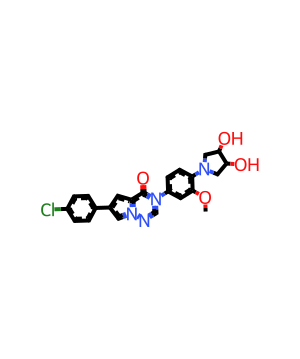 COc1cc(-n2cnn3cc(-c4ccc(Cl)cc4)cc3c2=O)ccc1N1CC(O)C(O)C1